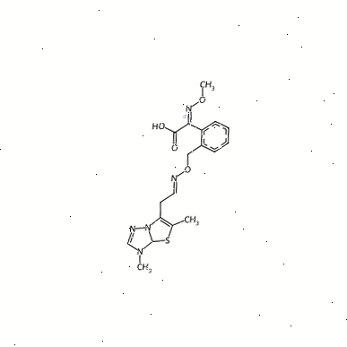 CO/N=C(/C(=O)O)c1ccccc1CON=CCC1=C(C)SC2N(C)C=NN12